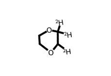 [2H]C1OCCOC1([2H])[2H]